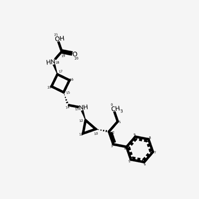 CC/C(=C\c1ccccc1)[C@@H]1C[C@H]1NC[C@H]1C[C@H](NC(=O)O)C1